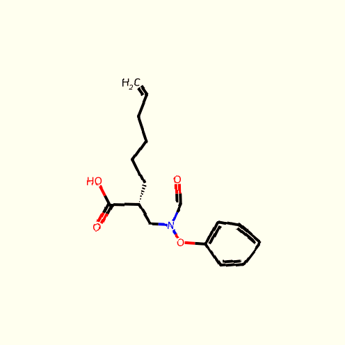 C=CCCCC[C@H](CN(C=O)Oc1ccccc1)C(=O)O